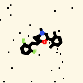 Cc1cccc(C)c1C(CN(C)C1CC1)OCCCc1c(F)cccc1F